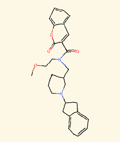 COCCN(CC1CCCN(C2Cc3ccccc3C2)C1)C(=O)c1cc2ccccc2oc1=O